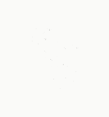 C/C(=N\OC(C)C)c1cn(CC(O)c2ccccc2S(C)(=O)=O)c(=O)n(C[C@H](C)NC(=O)C(C)C)c1=O